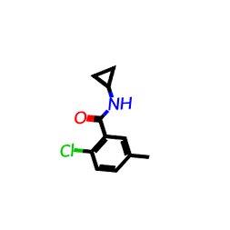 Cc1ccc(Cl)c(C(=O)NC2CC2)c1